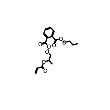 C=CC(=O)OC(C)COOC(=O)c1ccccc1C(=O)OOCCC